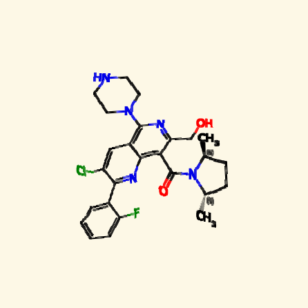 C[C@H]1CC[C@H](C)N1C(=O)c1c(CO)nc(N2CCNCC2)c2cc(Cl)c(-c3ccccc3F)nc12